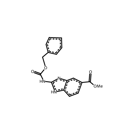 COC(=O)c1ccc2[nH]c(NC(=O)OCc3ccccc3)nc2c1